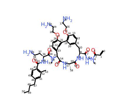 C=CC(=O)N(C)NC(=O)[C@@H]1Cc2ccc(OCCN)c(c2)-c2cc(ccc2OCCN)[C@H](N(C)C(=O)[C@H](CCN)NC(=O)c2ccc(CCCC)cc2C)C(=O)N[C@@H](C)C(=O)N1